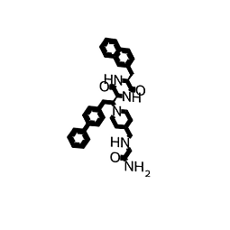 NC(=O)CNCC1CCN(C(Cc2ccc(-c3ccccc3)cc2)[C@@H]2NC(=O)[C@H](Cc3ccc4ccccc4c3)NC2=O)CC1